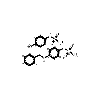 CS(=O)(=O)Oc1ccc(O)cc1.CS(=O)(=O)Oc1ccc(OCc2ccccc2)cc1